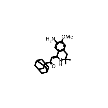 COc1cc2c(cc1N)/C(=C/C(=O)C13CC4CC(CC(C4)C1)C3)NC(C)(C)C2